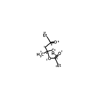 [CH2]CC(=O)OC(C)(C)CC(=O)CC